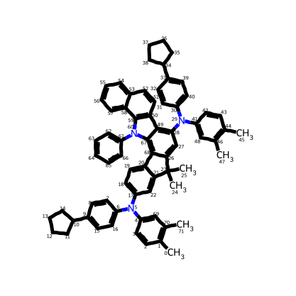 Cc1ccc(N(c2ccc(C3CCCC3)cc2)c2ccc3c(c2)C(C)(C)c2cc(N(c4ccc(C5CCCC5)cc4)c4ccc(C)c(C)c4)c4c5ccc6ccccc6c5n(-c5ccccc5)c4c2-3)cc1C